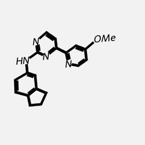 COc1ccnc(-c2ccnc(Nc3ccc4c(c3)CCC4)n2)c1